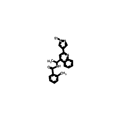 CCn1cc(-c2cc(C(C)NC(=O)c3ccccc3C)c3ccccc3n2)cn1